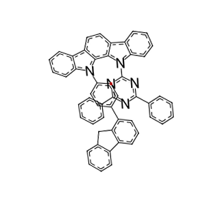 c1ccc(-c2nc(-c3ccccc3)nc(-n3c4ccccc4c4ccc5c6ccccc6n(-c6ccc(-c7cccc8c7Cc7ccccc7-8)cc6)c5c43)n2)cc1